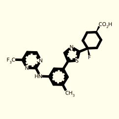 Cc1cc(Nc2nccc(C(F)(F)F)n2)cc(-c2cnc([C@]3(F)CC[C@@H](C(=O)O)CC3)s2)c1